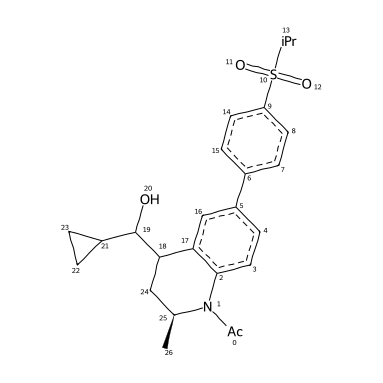 CC(=O)N1c2ccc(-c3ccc(S(=O)(=O)C(C)C)cc3)cc2C(C(O)C2CC2)C[C@@H]1C